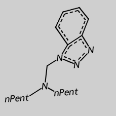 CCCCCN(CCCCC)Cn1nnc2ccccc21